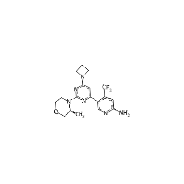 C[C@H]1COCCN1c1nc(-c2cnc(N)cc2C(F)(F)F)cc(N2CCC2)n1